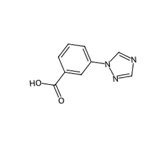 O=C(O)c1cccc(-n2cncn2)c1